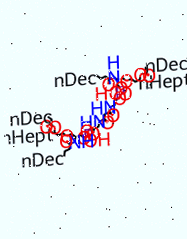 CCCCCCCCCCCCCC(=O)N[C@H](COCC[C@@H](CCCCCCC)OC(=O)CCCCCCCCCCC)COP(=O)(O)OCCNC(=O)CC(=O)NCCOP(=O)(O)OC[C@@H](COCC[C@@H](CCCCCCC)OC(=O)CCCCCCCCCCC)NC(=O)CCCCCCCCCCCCC